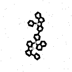 c1ccc(-c2cccc3c2oc2c(N(c4ccc(-c5ccc6c7ccc8ccccc8c7n(-c7ccccc7)c6c5)cc4)c4cccc5ccccc45)cccc23)cc1